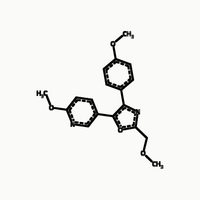 COCc1nc(-c2ccc(OC)cc2)c(-c2ccc(OC)nc2)o1